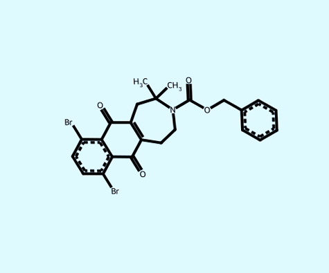 CC1(C)CC2=C(CCN1C(=O)OCc1ccccc1)C(=O)c1c(Br)ccc(Br)c1C2=O